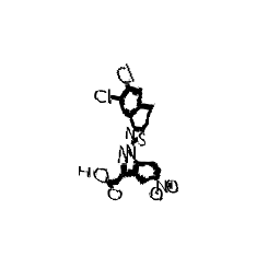 O=C(O)c1nn(-c2nc3c(s2)CCc2cc(Cl)c(Cl)cc2-3)c2ccc([N+](=O)[O-])cc12